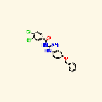 N=C(NC(=O)c1ccc(Cl)c(Cl)c1)Nc1ccc(OCc2ccccc2)cc1